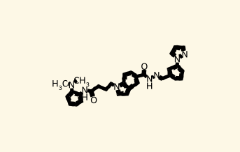 CN(C)c1ccccc1NC(=O)CCCn1ccc2cc(C(=O)NN=Cc3cccc(-n4cccn4)c3)ccc21